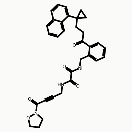 O=C(NCC#CC(=O)N1CCCO1)C(=O)NCc1ccccc1C(=O)CCC1(c2cccc3ccccc23)CC1